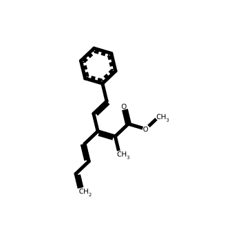 C=CC=CC(C=Cc1ccccc1)=C(C)C(=O)OC